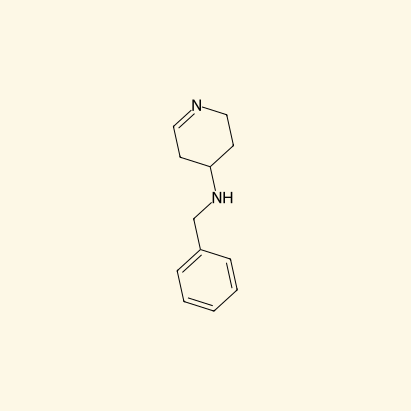 C1=NCCC(NCc2ccccc2)C1